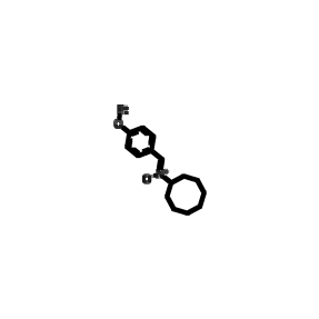 CCOc1ccc(C=[N+]([O-])C2CCCCCCC2)cc1